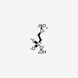 O=[N+]([O-])OCCS(=O)(=S)OO